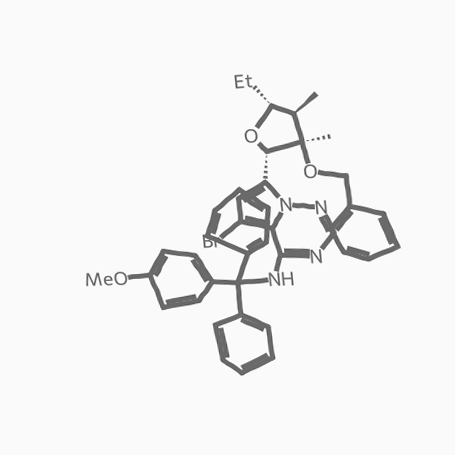 CC[C@H]1O[C@@H](c2cc(Br)c3c(NC(c4ccccc4)(c4ccccc4)c4ccc(OC)cc4)ncnn23)[C@](C)(OCc2ccccc2)[C@@H]1C